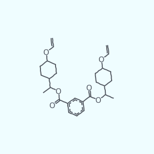 C=COC1CCC(C(C)OC(=O)c2cccc(C(=O)OC(C)C3CCC(OC=C)CC3)c2)CC1